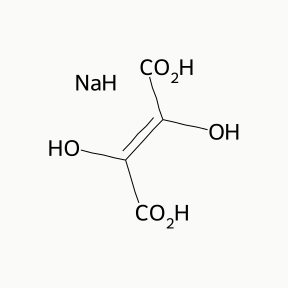 O=C(O)C(O)=C(O)C(=O)O.[NaH]